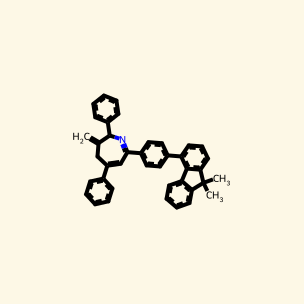 C=C1CC(c2ccccc2)=CC(c2ccc(-c3cccc4c3-c3ccccc3C4(C)C)cc2)=NC1c1ccccc1